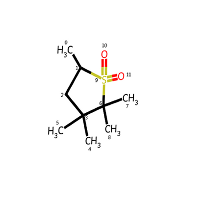 CC1CC(C)(C)C(C)(C)S1(=O)=O